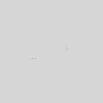 C[Si](C)C.N=C=S